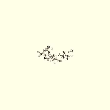 C[C@@H](C=O)N[PH](=O)OCC1O[C@@H](n2cnc3c(N(C)C)nc(N)nc32)[C@](C)(F)[C@@H]1O